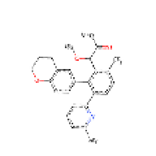 CCCc1cccc(-c2ccc(C(F)(F)F)c(C(OC(C)(C)C)C(=O)OC)c2-c2ccc3c(c2)CCCO3)n1